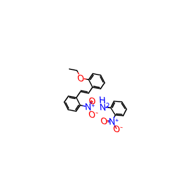 CCOc1ccccc1/C=C/c1ccccc1[N+](=O)[O-].Nc1ccccc1[N+](=O)[O-]